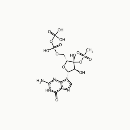 CS(=O)(=O)O[C@@]1(O)[C@@H](COP(=O)(O)OP(=O)(O)O)O[C@@H](n2cnc3c(=O)[nH]c(N)nc32)[C@@H]1O